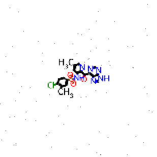 Cc1cnc(C(=O)c2ncnc3[nH]cnc23)c(NS(=O)(=O)c2ccc(Cl)c(C)c2)c1